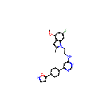 COc1cc(F)cc2c1cc(C)n2CCNc1cc(-c2ccc(-c3ccno3)cc2)ncn1